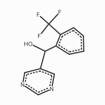 OC(c1cncnc1)c1ccccc1C(F)(F)F